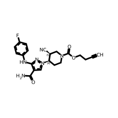 C#CCCOC(=O)N1CC[C@@H](n2cc(C(N)=O)c(Nc3ccc(F)cc3)n2)[C@@H](C#N)C1